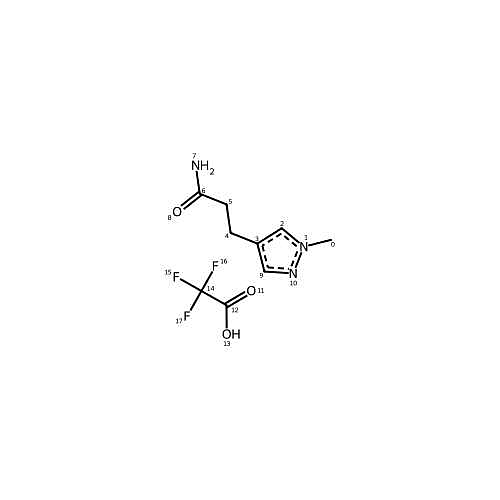 Cn1cc(CCC(N)=O)cn1.O=C(O)C(F)(F)F